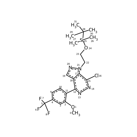 COc1cc(C(F)(F)F)ccc1-c1nnc(Cl)c2c1cnn2CCO[Si](C)(C)C(C)(C)C